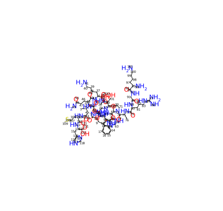 CC[C@H](C)[C@H](NC(=O)[C@H](Cc1c[nH]c2ccccc12)NC(=O)[C@H](CC(=O)O)NC(=O)[C@H](CO)NC(=O)[C@H](CCCCN)NC(=O)[C@H](CCC(N)=O)NC(=O)CNC(=O)[C@H](Cc1c[nH]cn1)NC(=O)[C@@H]1CCCN1C(=O)[C@H](C)NC(=O)[C@H](CCCNC(=N)N)NC(=O)CNC(=O)[C@@H](N)CCCCN)C(=O)N[C@@H](CCSC)C(=O)N[C@@H](Cc1c[nH]cn1)C(=O)O